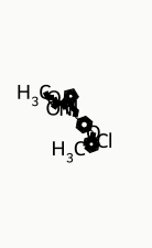 CCOC(=O)c1nn(CC[C@H]2CC[C@@H](Oc3cc(C)ccc3Cl)CC2)c2c1CCC2